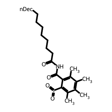 CCCCCCCCCCCCCCCCCC(=O)NC(=O)c1c(C)c(C)c(C)c(C)c1I(=O)=O